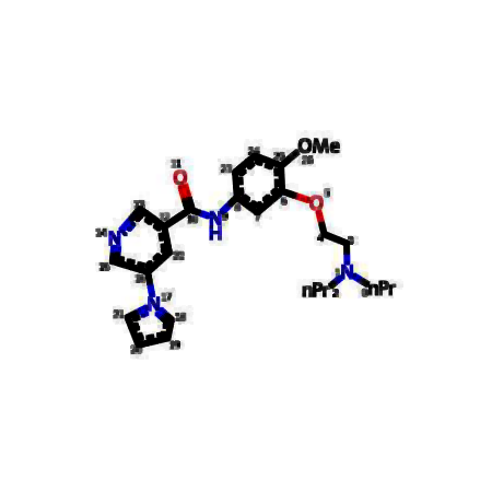 CCCN(CCC)CCOc1cc(NC(=O)c2cncc(-n3cccc3)c2)ccc1OC